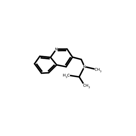 CC(C)N(C)Cc1cnc2ccccc2c1